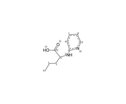 CCCC(Nc1ccccn1)C(=O)O